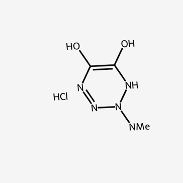 CNN1N=NC(O)=C(O)N1.Cl